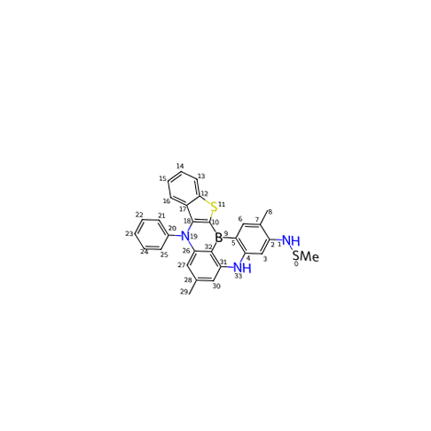 CSNc1cc2c(cc1C)B1c3sc4ccccc4c3N(c3ccccc3)c3cc(C)cc(c31)N2